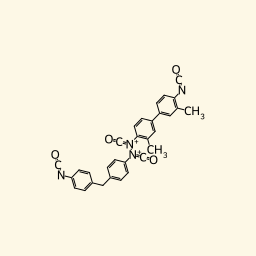 Cc1cc(-c2ccc([N+](=C=O)[N+](=C=O)c3ccc(Cc4ccc(N=C=O)cc4)cc3)c(C)c2)ccc1N=C=O